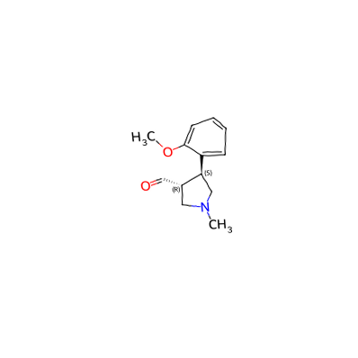 COc1ccccc1[C@H]1CN(C)C[C@@H]1C=O